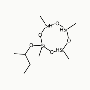 CCC(C)O[Si]1(C)O[SiH](C)O[SiH](C)O[SiH](C)O1